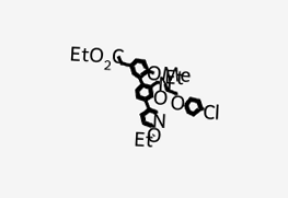 CCOC(=O)Cc1ccc(OC)c(-c2ccc(-c3ccc(OCC)nc3)cc2CN(CC)C(=O)COc2ccc(Cl)cc2)c1